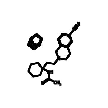 CC(=O)NC1(CCN2CCc3cc(C#N)ccc3C2)CCCCC1.c1cc2ccc1o2